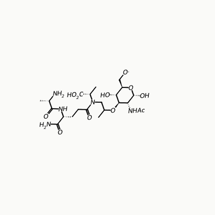 CC(=O)N[C@@H]1[C@@H](OC(C)CN(C(=O)CC[C@@H](NC(=O)[C@H](C)N)C(N)=O)[C@@H](C)C(=O)O)[C@H](O)[C@@H](C[O])O[C@@H]1O